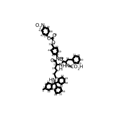 Cc1ccc(C(NCCCCC(NC(=O)C(Cc2ccccc2)NC(=O)O)C(=O)Nc2ccc(COC(=O)Oc3ccc([N+](=O)[O-])cc3)cc2)(c2ccccc2)c2ccccc2)cc1